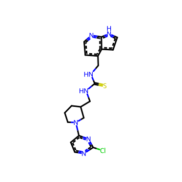 S=C(NCc1ccnc2[nH]ccc12)NCC1CCCN(c2ccnc(Cl)n2)C1